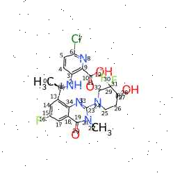 C[C@@H](Nc1ccc(Cl)nc1C(=O)O)c1cc(F)cc2c(=O)n(C)c(N3CC[C@@H](O)C(F)(F)C3)nc12